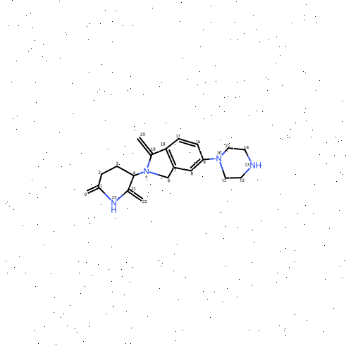 C=C1CCC(N2Cc3cc(N4CCNCC4)ccc3C2=C)C(=C)N1